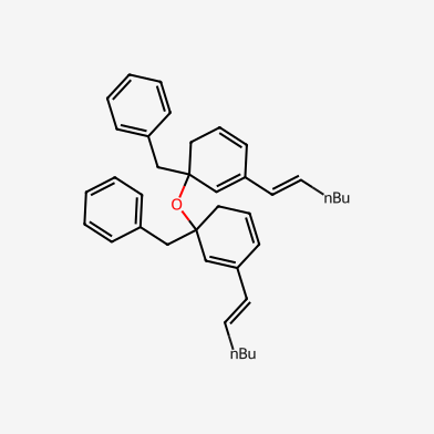 CCCCC=CC1=CC(Cc2ccccc2)(OC2(Cc3ccccc3)C=C(C=CCCCC)C=CC2)CC=C1